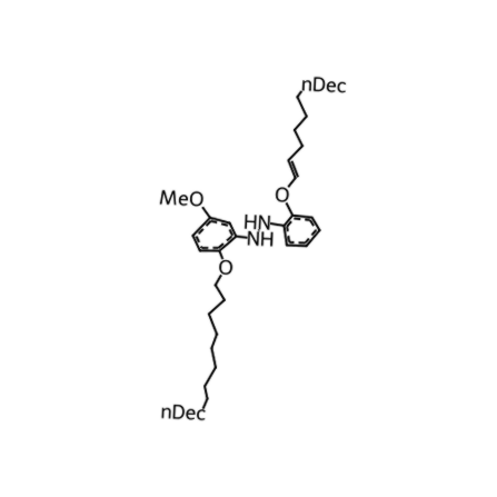 CCCCCCCCCCCCCCC=COc1ccccc1NNc1cc(OC)ccc1OCCCCCCCCCCCCCCCCCC